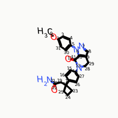 COc1ccc(-n2ncc3c2C(=O)N(c2ccc(C4(CC(N)=O)CCC4)cc2)CC3)cc1